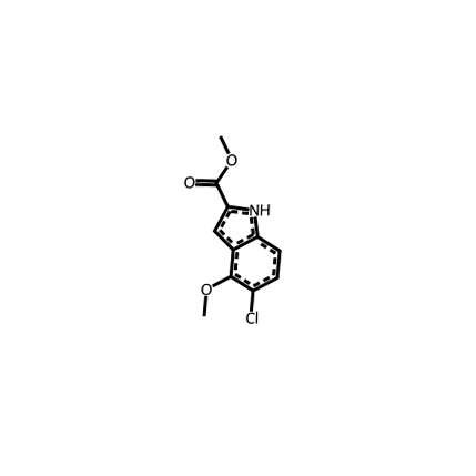 COC(=O)c1cc2c(OC)c(Cl)ccc2[nH]1